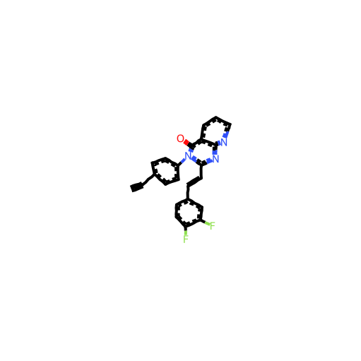 C#Cc1ccc(-n2c(C=Cc3ccc(F)c(F)c3)nc3ncccc3c2=O)cc1